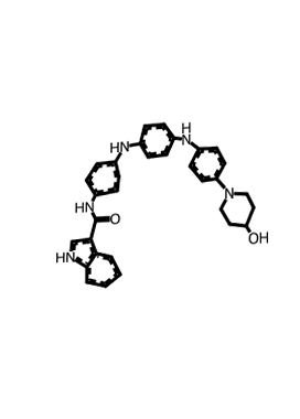 O=C(Nc1ccc(Nc2ccc(Nc3ccc(N4CCC(O)CC4)cc3)cc2)cc1)c1c[nH]c2ccccc12